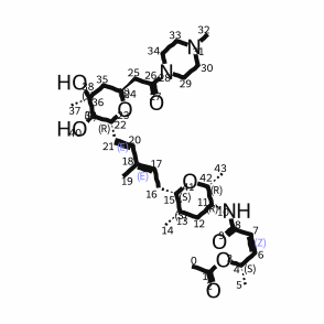 CC(=O)O[C@@H](C)/C=C\C(=O)N[C@@H]1C[C@H](C)[C@H](C/C=C(C)/C=C/[C@H]2O[C@H](CC(=O)N3CCN(C)CC3)C[C@](C)(O)[C@@H]2O)O[C@@H]1C